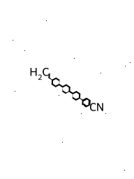 C=CC[C@H]1CC[C@H]([C@H]2CC[C@H]([C@H]3CC[C@H](c4ccc(C#N)cc4)CC3)CC2)CC1